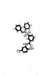 O=C(Nc1cc(Cl)ccc1O)c1cccc(S(=O)(=O)N(Cc2ccccc2)C2CCCCC2)c1